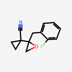 N#CC1(C2(Cc3ccccc3F)CO2)CC1